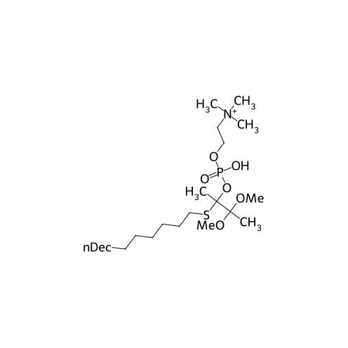 CCCCCCCCCCCCCCCCSC(C)(OP(=O)(O)OCC[N+](C)(C)C)C(C)(OC)OC